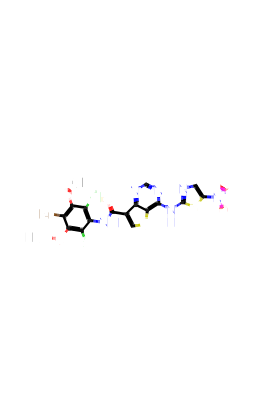 COc1c(Cl)c(NC(=O)c2csc3c(Nc4ncc([N+](=O)[O-])s4)ncnc23)c(Cl)c(OC)c1Br